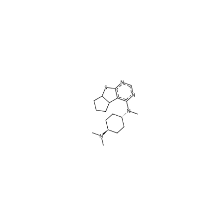 CN(C)[C@H]1CC[C@H](N(C)c2ncnc3c2C2CCCC2S3)CC1